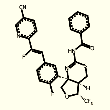 N#Cc1ccc(/C(F)=C/c2ccc(F)c([C@@]34CO[C@@H](C(F)(F)F)[C@@H]3CSC(NC(=O)c3ccccc3)=N4)c2)nc1